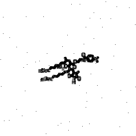 CCCCCCCCCCCCCCCCC(C)CC(C(=O)OCCNC(=O)c1ccc(N(C)C)cc1)C(C(=O)O)C(CCCCCCCCCCCCCCCC)CC1C(=O)NC(=O)C1C